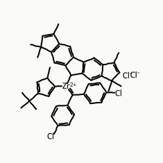 CC1=CC(C)(C)c2cc3c(cc21)-c1cc2c(cc1[CH]3[Zr+2]([C]1=CC(C(C)(C)C)=CC1C)=[C](c1ccc(Cl)cc1)c1ccc(Cl)cc1)C(C)(C)C=C2C.[Cl-].[Cl-]